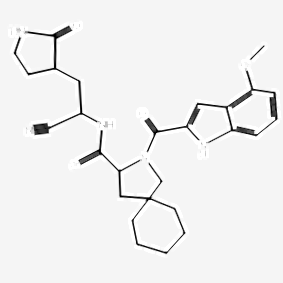 COc1cccc2[nH]c(C(=O)N3CC4(CCCCC4)CC3C(=O)NC(C#N)CC3CCNC3=O)cc12